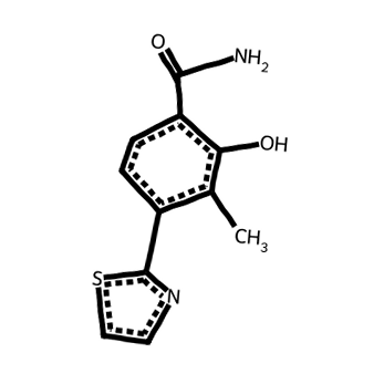 Cc1c(-c2nccs2)ccc(C(N)=O)c1O